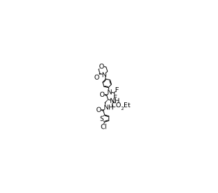 CCOC(=O)N[C@@H](CNC(=O)c1ccc(Cl)s1)C(=O)N(c1ccc(N2CCOCC2=O)cc1)C(F)F